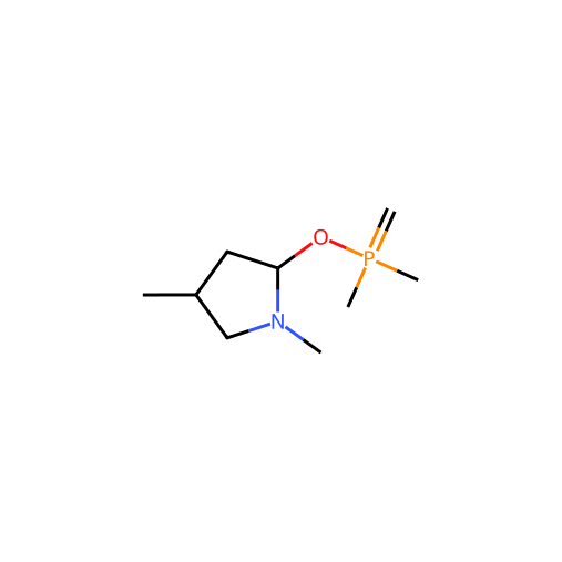 C=P(C)(C)OC1CC(C)CN1C